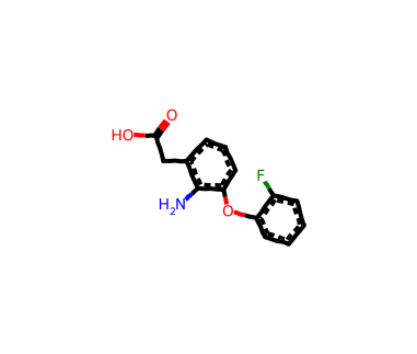 Nc1c(CC(=O)O)cccc1Oc1ccccc1F